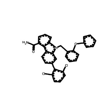 NC(=O)c1cccc2c1c1[c]cc(-c3c(Cl)cccc3Cl)cc1n2Cc1ccccc1Oc1ccccc1